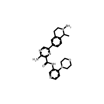 BN1CCc2cc(-c3cnc(N)c(C(=O)Nc4cnccc4N4CCOCC4)n3)ccc2C1C